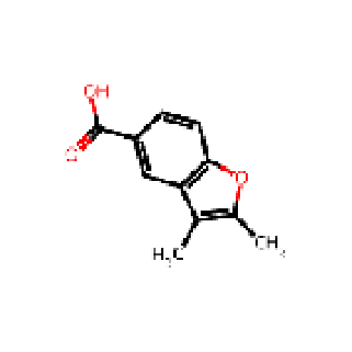 Cc1oc2ccc(C(=O)O)cc2c1C